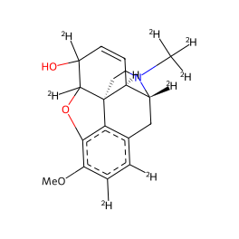 [2H]c1c([2H])c(OC)c2c3c1C[C@]1([2H])[C@@H]4C=CC([2H])(O)C([2H])(O2)[C@]34CCN1C([2H])([2H])[2H]